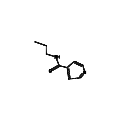 CCCNC(=O)c1ccncc1